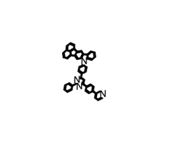 c1ccc(-c2nc(-c3ccc(-c4cccnc4)cc3)cc(-c3ccc(-n4c5ccccc5c5cc6c(cc54)-c4cccc5cccc-6c45)cc3)n2)cc1